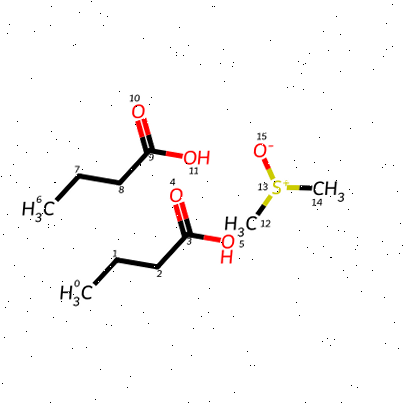 CCCC(=O)O.CCCC(=O)O.C[S+](C)[O-]